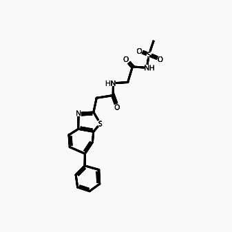 CS(=O)(=O)NC(=O)CNC(=O)Cc1nc2ccc(-c3ccccc3)cc2s1